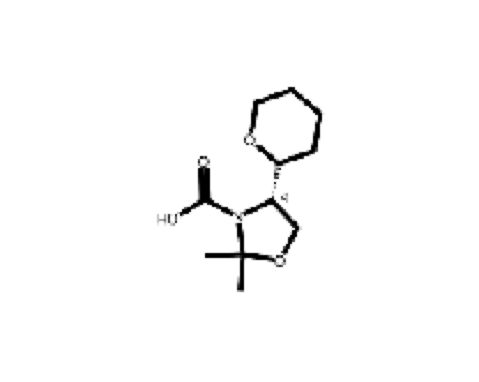 CC1(C)OC[C@@H](C2CCCCO2)N1C(=O)O